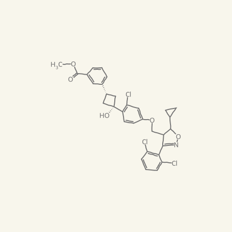 COC(=O)c1cccc([C@H]2C[C@](O)(c3ccc(OCC4C(c5c(Cl)cccc5Cl)=NOC4C4CC4)cc3Cl)C2)c1